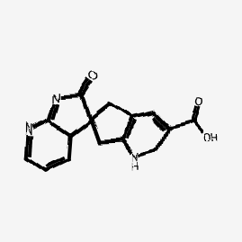 O=C(O)C1=CC2=C(CC3(C2)C(=O)N=C2N=CC=CC23)NC1